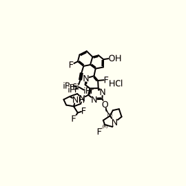 CC(C)[Si](C#Cc1c(F)ccc2cc(O)cc(-c3ncc4c(N5CC6CCC(C(F)F)(C5)N6)nc(OC[C@@]56CCCN5C[C@H](F)C6)nc4c3F)c12)(C(C)C)C(C)C.Cl